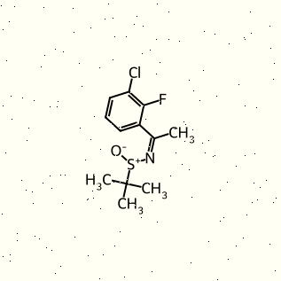 C/C(=N/[S+]([O-])C(C)(C)C)c1cccc(Cl)c1F